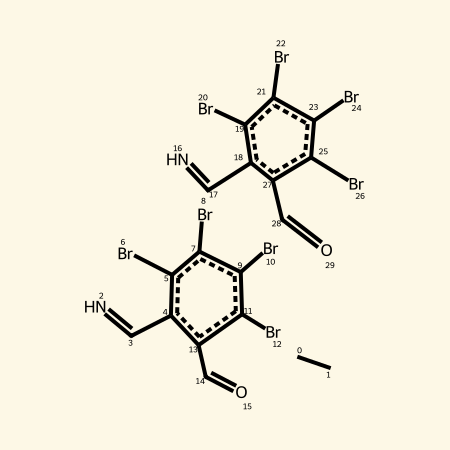 CC.N=Cc1c(Br)c(Br)c(Br)c(Br)c1C=O.N=Cc1c(Br)c(Br)c(Br)c(Br)c1C=O